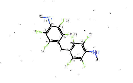 CNc1c(F)c(F)c(Cc2c(F)c(F)c(NC)c(F)c2F)c(F)c1F